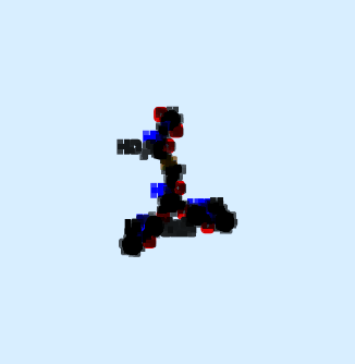 COc1cc2c(cc1OCc1cc(COc3cc4c(cc3OC)C(=O)N3c5ccccc5C[C@H]3CN4)cc(NC(=O)CCC(C)(C)SSCCC(C(=O)NCCN3C(=O)C=CC3=O)S(=O)(=O)O)c1)N=C[C@@H]1Cc3ccccc3N1C2=O